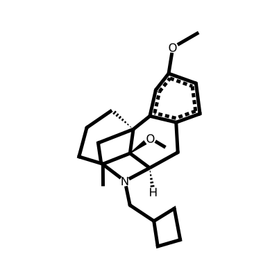 COc1ccc2c(c1)[C@@]13CCCC(C)[C@@]1(OC)[C@@H](C2)N(CC1CCC1)CC3